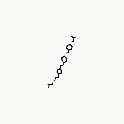 C=C(C)C(=O)OCCCc1ccc(C(=O)Cc2ccc(OC(=O)c3ccc(OC(=O)C(=C)C)cc3)cc2)cc1